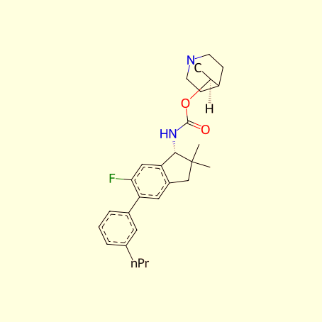 CCCc1cccc(-c2cc3c(cc2F)[C@H](NC(=O)O[C@H]2CN4CCC2CC4)C(C)(C)C3)c1